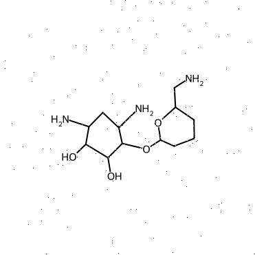 NCC1CCCC(OC2C(N)CC(N)C(O)C2O)O1